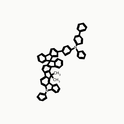 CC1(C)c2c(ccc3c2-c2ccccc2C32c3ccccc3-c3ccc(-c4ccc(N(c5ccccc5)c5ccc(-c6ccccc6)cc5)cc4)cc32)-c2ccc3c(c21)c1ccccc1n3-c1ccccc1